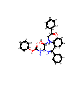 O=C(NC1N=C(c2ccccc2)c2ccccc2N(CC(=O)c2ccccc2)C1=O)Oc1ccccc1